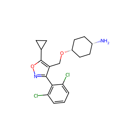 N[C@H]1CC[C@@H](OCc2c(-c3c(Cl)cccc3Cl)noc2C2CC2)CC1